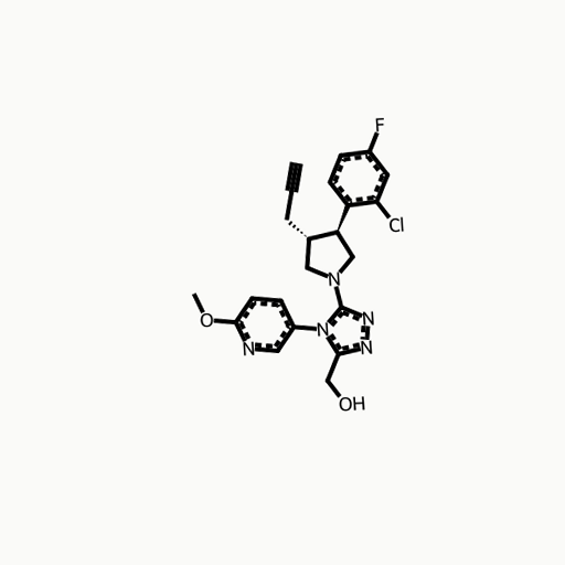 C#CC[C@H]1CN(c2nnc(CO)n2-c2ccc(OC)nc2)C[C@@H]1c1ccc(F)cc1Cl